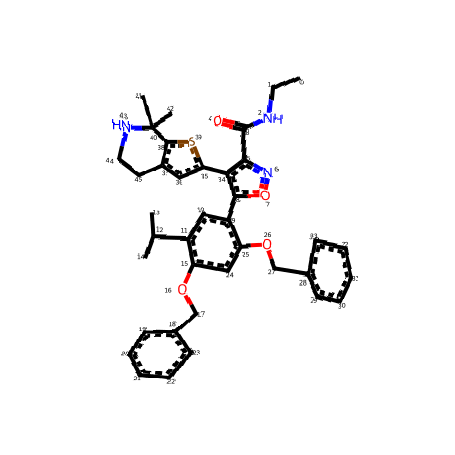 CCNC(=O)c1noc(-c2cc(C(C)C)c(OCc3ccccc3)cc2OCc2ccccc2)c1-c1cc2c(s1)C(C)(C)NCC2